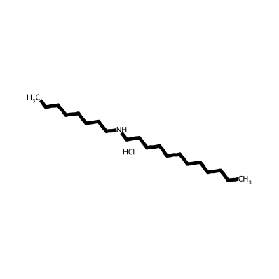 CCCCCCCCCCCCNCCCCCCCC.Cl